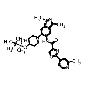 Cc1cc(-c2nc(C(=O)Nc3cc4c(C)nn(C)c4cc3N3CCC(O[Si](C)(C)C(C)(C)C)CC3)co2)ccn1